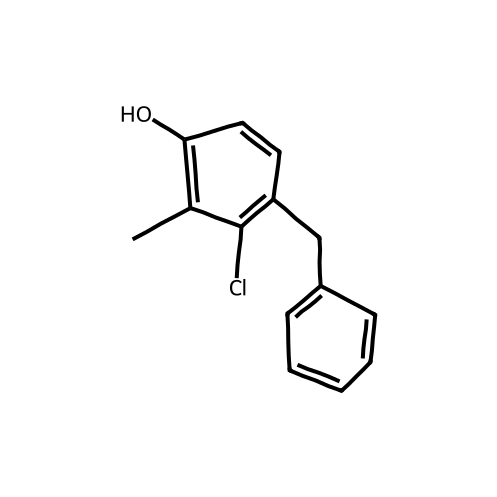 Cc1c(O)ccc(Cc2ccccc2)c1Cl